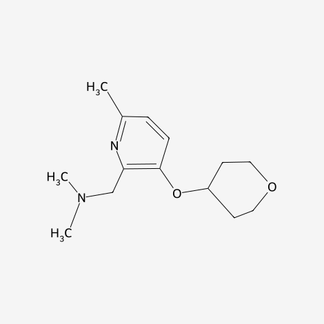 Cc1ccc(OC2CCOCC2)c(CN(C)C)n1